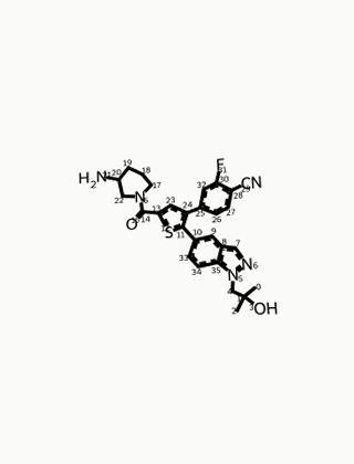 CC(C)(O)Cn1ncc2cc(-c3sc(C(=O)N4CCCC(N)C4)cc3-c3ccc(C#N)c(F)c3)ccc21